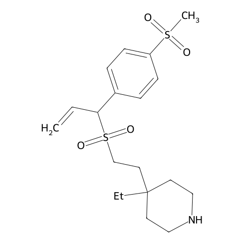 C=CC(c1ccc(S(C)(=O)=O)cc1)S(=O)(=O)CCC1(CC)CCNCC1